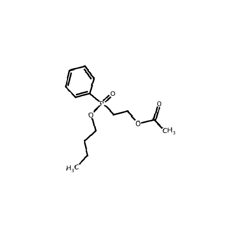 CCCCOP(=O)(CCOC(C)=O)c1ccccc1